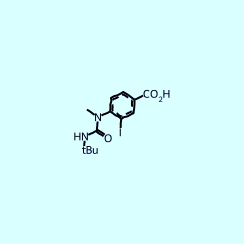 CN(C(=O)NC(C)(C)C)c1ccc(C(=O)O)cc1I